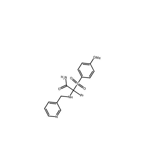 COc1ccc(S(=O)(=O)C(NCc2cccnc2)(C(N)=O)C(C)C)cc1